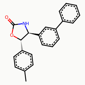 Cc1ccc([C@@H]2OC(=O)N[C@H]2c2cccc(-c3ccccc3)c2)cc1